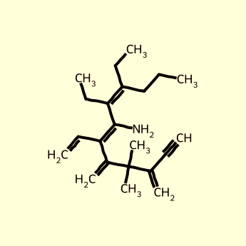 C#CC(=C)C(C)(C)C(=C)/C(C=C)=C(N)/C(CC)=C(/CC)CCC